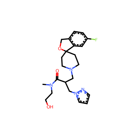 CN(CCO)C(=O)C(CN1CCC2(CC1)OCc1ccc(F)cc12)Cn1cccn1